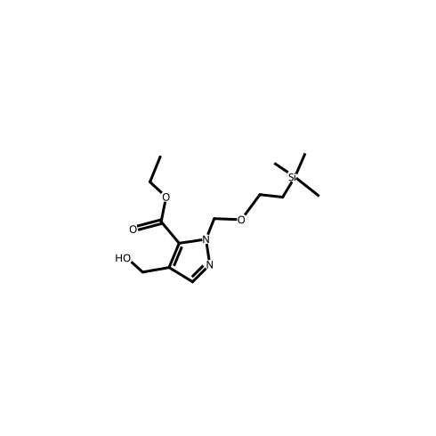 CCOC(=O)c1c(CO)cnn1COCC[Si](C)(C)C